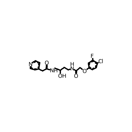 O=C(COc1ccc(Cl)c(F)c1)NCCC(O)CNC(=O)Cc1ccncc1